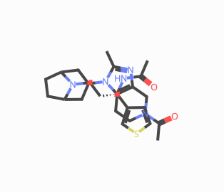 CC(=O)N[C@@H](CCN1C2CCC1CC(n1c(C)nc3c1CCN(C(C)=O)C3)C2)c1ccsc1